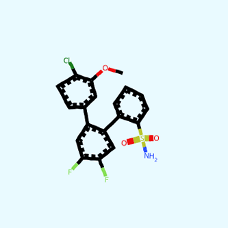 COc1cc(-c2cc(F)c(F)cc2-c2ccccc2S(N)(=O)=O)ccc1Cl